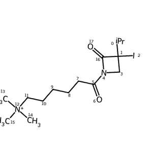 CC(C)C1(I)CN(C(=O)CCCCC[N+](C)(C)C)C1=O